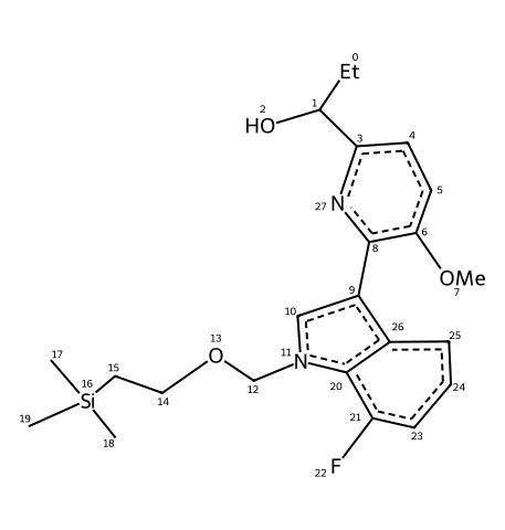 CCC(O)c1ccc(OC)c(-c2cn(COCC[Si](C)(C)C)c3c(F)cccc23)n1